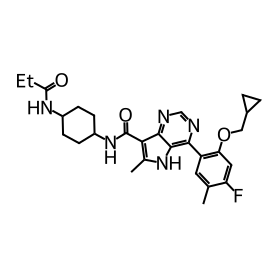 CCC(=O)NC1CCC(NC(=O)c2c(C)[nH]c3c(-c4cc(C)c(F)cc4OCC4CC4)ncnc23)CC1